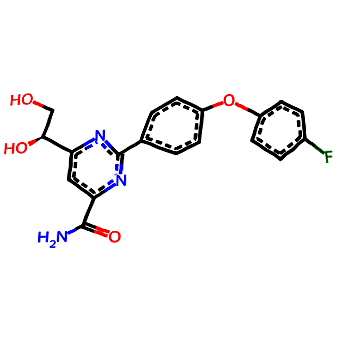 NC(=O)c1cc([C@@H](O)CO)nc(-c2ccc(Oc3ccc(F)cc3)cc2)n1